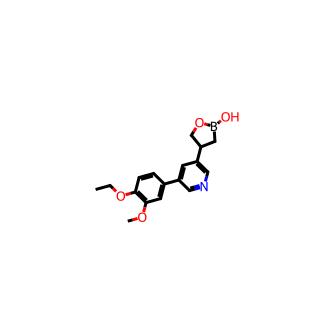 CCOc1ccc(-c2cncc(C3COB(O)C3)c2)cc1OC